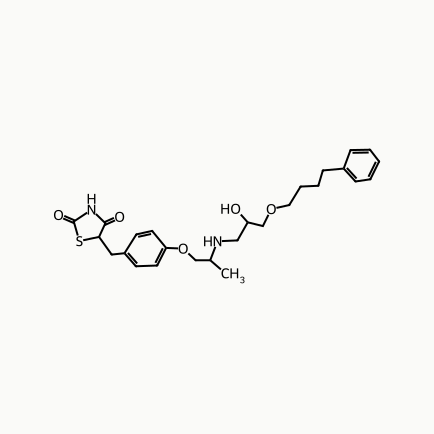 CC(COc1ccc(CC2SC(=O)NC2=O)cc1)NCC(O)COCCCCc1ccccc1